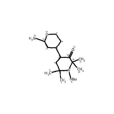 CCCCN1C(C)(C)CC(C2CCOC([SiH3])C2)C(=O)C1(C)C